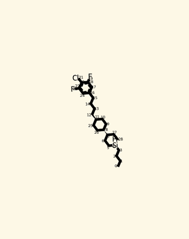 CCCC[SiH]1CCC([C@H]2CC[C@H](CCCCc3cc(F)c(Cl)c(F)c3)CC2)CC1